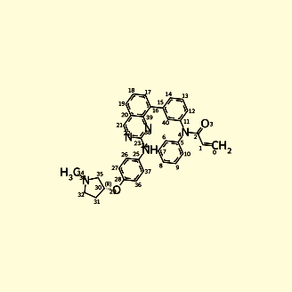 C=CC(=O)N(c1ccccc1)c1cccc(-c2cccc3cnc(Nc4ccc(O[C@@H]5CCN(C)C5)cc4)nc23)c1